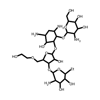 CCC1OC(OC2C(COCCO)OC(OC3C(O)C(N)CC(N)C3OC3OC(CO)C(O)C(O)C3N)C2O)C(N)C(O)C1O